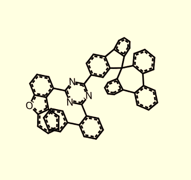 c1ccc(-c2ccccc2-c2nc(-c3ccc4c(c3)C3(c5ccccc5-c5ccccc5-c5ccccc53)c3ccccc3-4)nc(-c3cccc4oc5ccccc5c34)n2)cc1